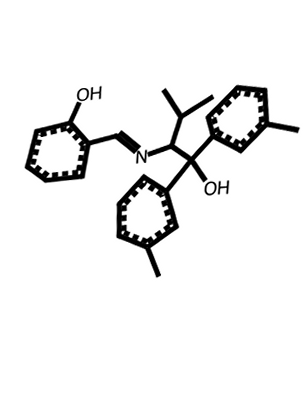 Cc1cccc(C(O)(c2cccc(C)c2)C(N=Cc2ccccc2O)C(C)C)c1